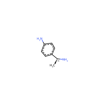 C[C@H](N)c1ccc(N)cc1